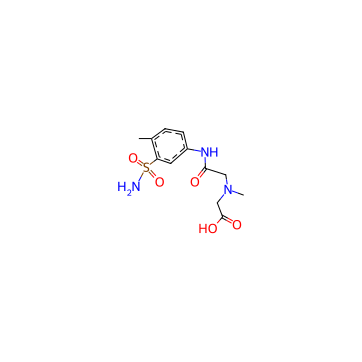 Cc1ccc(NC(=O)CN(C)CC(=O)O)cc1S(N)(=O)=O